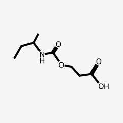 CCC(C)NC(=O)OCCC(=O)O